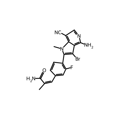 CC(=Cc1ccc(-c2c(Br)c3c(N)ncc(C#N)c3n2C)c(F)c1)C(N)=O